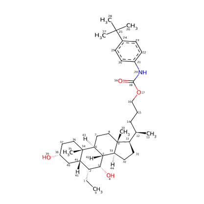 CC[C@H]1[C@@H](O)[C@@H]2[C@H](CC[C@]3(C)[C@@H]([C@H](C)CCCOC(=O)Nc4ccc(C(C)(C)C)cc4)CC[C@@H]23)[C@@]2(C)CC[C@@H](O)C[C@@H]12